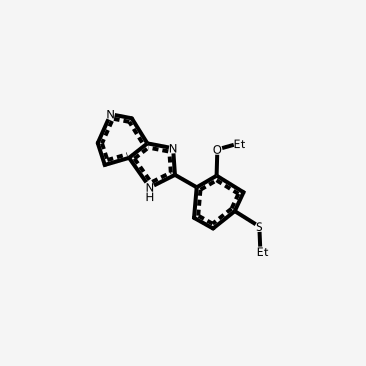 CCOc1cc(SCC)ccc1-c1nc2cnccc2[nH]1